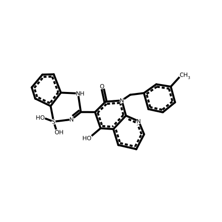 Cc1cccc(Cn2c(=O)c(C3=NS(O)(O)c4ccccc4N3)c(O)c3cccnc32)c1